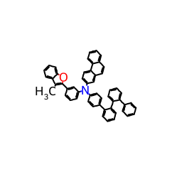 Cc1c(-c2cccc(N(c3ccc(-c4ccccc4-c4ccccc4-c4ccccc4)cc3)c3ccc4c(ccc5ccccc54)c3)c2)oc2ccccc12